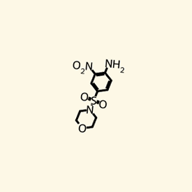 Nc1ccc(S(=O)(=O)N2CCOCC2)cc1[N+](=O)[O-]